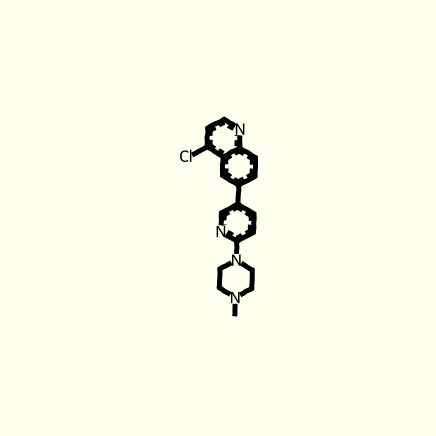 CN1CCN(c2ccc(-c3ccc4nccc(Cl)c4c3)cn2)CC1